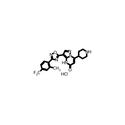 Cc1cc(C(F)(F)F)ccc1-c1noc(-c2cnn3c(C4CCNCC4)cc(=O)[nH]c23)n1.Cl